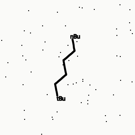 [CH2]C(C)(C)CCCCCCCC